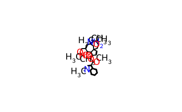 CC1=CC23CCC(C)C(C)(C)C(N)(C=C4COC(C)(C)OC4C2(O)C1OC(=O)c1cn(C)c2ccccc12)C3=O